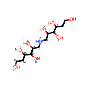 OCCC(O)C(O)C(O)CNCC(O)C(O)C(O)CCO